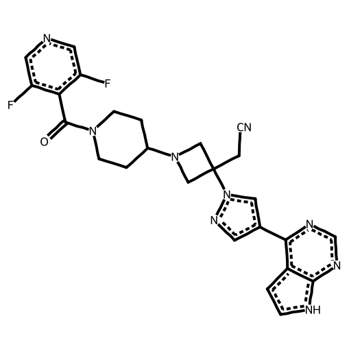 N#CCC1(n2cc(-c3ncnc4[nH]ccc34)cn2)CN(C2CCN(C(=O)c3c(F)cncc3F)CC2)C1